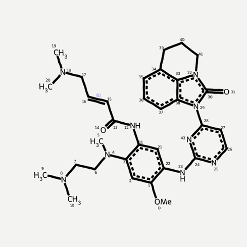 COc1cc(N(C)CCN(C)C)c(NC(=O)/C=C/CN(C)C)cc1Nc1nccc(-n2c(=O)n3c4c(cccc42)CCC3)n1